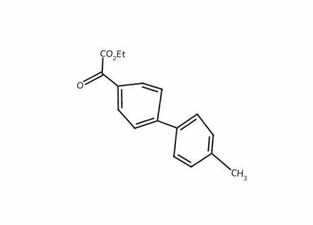 CCOC(=O)C(=O)c1ccc(-c2ccc(C)cc2)cc1